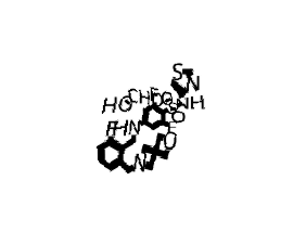 O=CO.O=S(=O)(Nc1cscn1)c1c(F)cc(NCc2c(F)cccc2CN2CC3(COC3)C2)cc1F